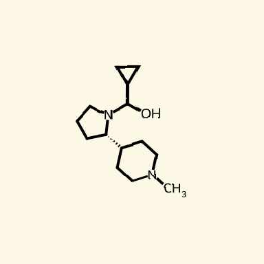 CN1CCC([C@@H]2CCCN2C(O)C2CC2)CC1